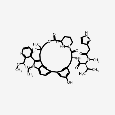 CCn1c(-c2cccnc2[C@H](C)OC)c2c3cc(ccc31)-c1cc(O)cc(c1)C[C@H](NC(=O)[C@H](C(C)C)N(C)C(=O)Cc1cc[nH]n1)C(=O)N1CCC[C@H](N1)C(=O)OCC(C)(C)C2